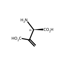 C=C(C(=O)O)[C@@H](N)C(=O)O